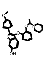 COc1ccc(-c2sc3cc(O)ccc3c2Oc2ccccc2OC(C)N2CCCCC2)cc1